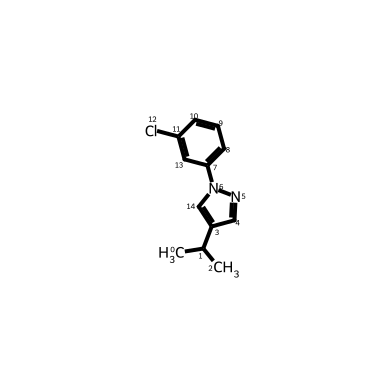 CC(C)c1cnn(-c2cccc(Cl)c2)c1